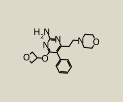 Nc1nc(CCN2CCOCC2)c(-c2ccccc2)c(OC2COC2)n1